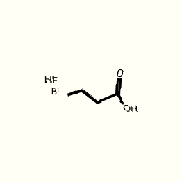 CCCC(=O)O.F.[B]